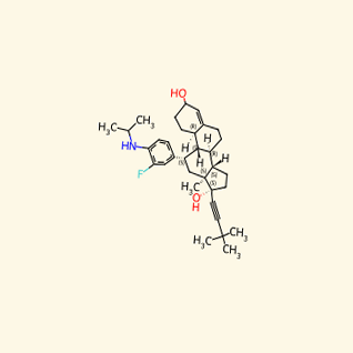 CC(C)Nc1ccc([C@H]2C[C@@]3(C)[C@@H](CC[C@@]3(O)C#CC(C)(C)C)[C@@H]3CCC4=CC(O)CC[C@@H]4[C@H]32)cc1F